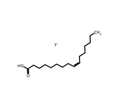 CCCCCC/C=C\CCCCCCCC(=O)O.[Y]